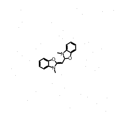 CN1/C(=C/C2Oc3ccccc3N2C)Oc2ccccc21